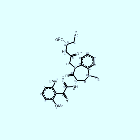 COc1cccc(OC)c1C(=O)C(=O)N[C@H]1CN(C(C)=O)c2ccccc2N(CC(=O)N[C@H](C=O)CC(C)=O)C1=O